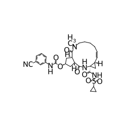 CN1CCCC/C=C\[C@@H]2C[C@@]2(C(=O)NS(=O)(=O)C2CC2)NC(=O)[C@@H]2C[C@@H](OC(=O)Nc3cccc(C#N)c3)C[C@H]2C1=O